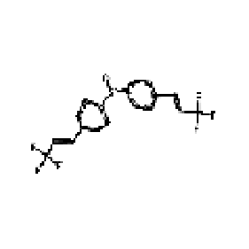 [O-][S+](c1ccc(C=CC(F)(F)F)cc1)c1ccc(C=CC(F)(F)F)cc1